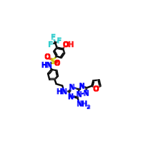 Nc1nc(NCCc2ccc(NS(=O)(=O)c3ccc(O)c(C(F)(F)F)c3)cc2)nc2nc(-c3ccco3)nn12